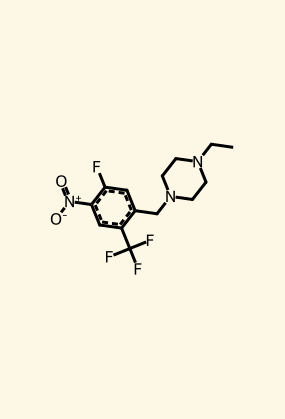 CCN1CCN(Cc2cc(F)c([N+](=O)[O-])cc2C(F)(F)F)CC1